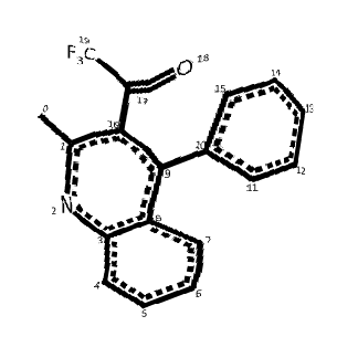 Cc1nc2ccccc2c(-c2ccccc2)c1C(=O)C(F)(F)F